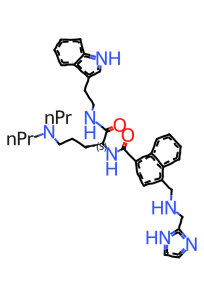 CCCN(CCC)CCC[C@H](NC(=O)c1ccc(CNCc2ncc[nH]2)c2ccccc12)C(=O)NCCc1c[nH]c2ccccc12